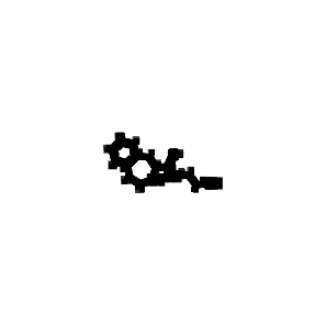 O=C(NCCO)C1Cc2ccccc2CCN1